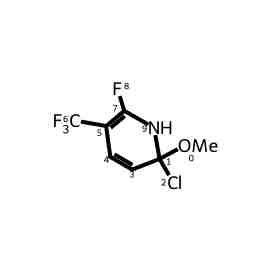 COC1(Cl)C=CC(C(F)(F)F)=C(F)N1